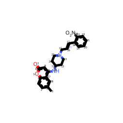 Cc1ccc2oc(=O)cc(NC3CCN(C/C=C/c4ccccc4[N+](=O)[O-])CC3)c2c1